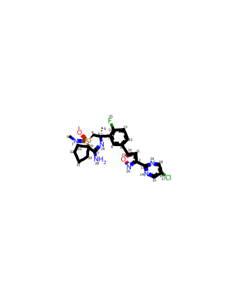 CN=[S@@]1(=O)C[C@@](C)(c2cc(-c3cc(-c4ncc(Cl)cn4)no3)ccc2F)N=C(N)C12CCCC2